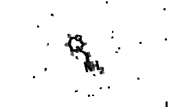 NCN1CCCOC1